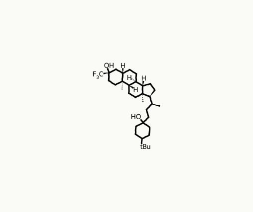 C[C@@H](CCC1(O)CCC(C(C)(C)C)CC1)[C@@H]1CC[C@H]2[C@@H]3CC[C@H]4C[C@](O)(C(F)(F)F)CC[C@]4(C)[C@H]3CC[C@@]21C